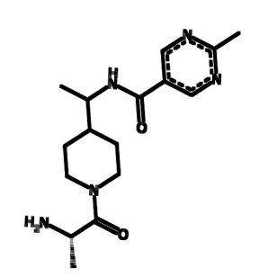 Cc1ncc(C(=O)NC(C)C2CCN(C(=O)[C@H](C)N)CC2)cn1